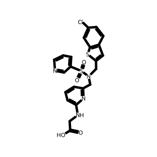 O=C(O)CNc1cccc(CN(Cc2cc3ccc(Cl)cc3s2)S(=O)(=O)c2cccnc2)n1